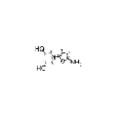 Nc1ccc(N(CCO)CCO)o1